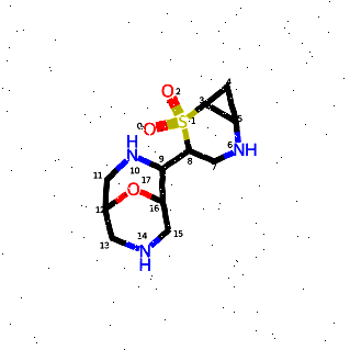 O=S1(=O)C2CC2NCC1C1NCC2CNCC1O2